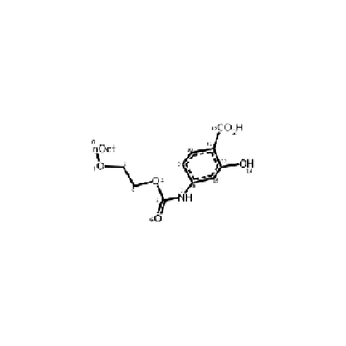 CCCCCCCCOCCOC(=O)Nc1ccc(C(=O)O)c(O)c1